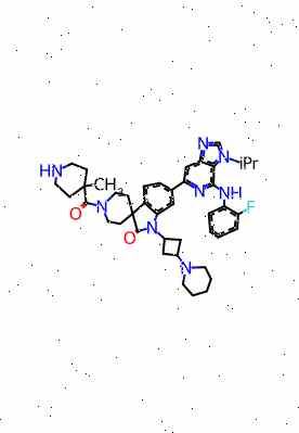 CC(C)n1cnc2cc(-c3ccc4c(c3)N(C3CC(N5CCCCC5)C3)C(=O)C43CCN(C(=O)C4(C)CCNCC4)CC3)nc(Nc3ccccc3F)c21